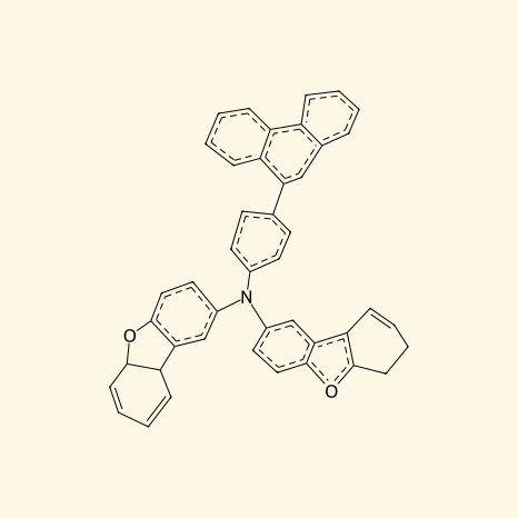 C1=CC2Oc3ccc(N(c4ccc(-c5cc6ccccc6c6ccccc56)cc4)c4ccc5oc6c(c5c4)C=CCC6)cc3C2C=C1